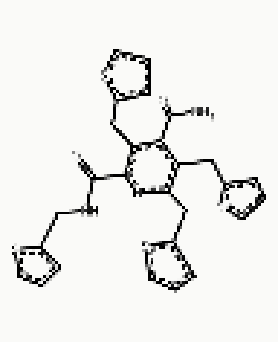 NC(=O)c1c(Cc2cccs2)c(Cc2cccs2)nc(C(=O)NCc2cccs2)c1Cc1cccs1